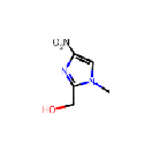 Cn1cc([N+](=O)[O-])nc1CO